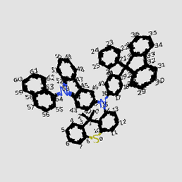 CC1(C)c2ccccc2Sc2cccc(N(c3ccc(C4(c5ccccc5)c5ccccc5-c5ccccc54)cc3)c3ccc4c(c3)c3ccccc3n4-c3cccc4ccccc34)c21